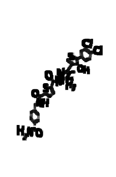 C/C(=N\NC(=O)c1ccc(C(=O)NCc2ccc(C(N)=O)cc2)s1)c1csc(-c2ccc(Cl)c(Cl)c2)c1O